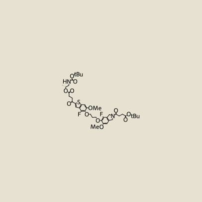 COc1cc2c(c(F)c1OCCCOc1c(OC)cc3sc(C(=O)CCC(=O)O[C@H](C)CNC(=O)OC(C)(C)C)cc3c1F)CN(C(=O)CCC(=O)OC(C)(C)C)C2